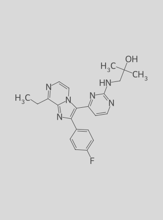 CCc1nccn2c(-c3ccnc(NCC(C)(C)O)n3)c(-c3ccc(F)cc3)nc12